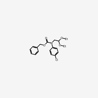 CCOC(CN(C(=O)OCc1ccccc1)c1ccc(Cl)cc1)OCC